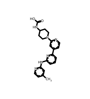 Cc1ccnc(Nc2cccc(-c3ccnc(N4CCC(NC(=O)O)CC4)c3)n2)c1